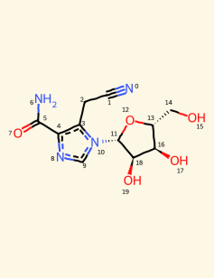 N#CCc1c(C(N)=O)ncn1[C@@H]1O[C@H](CO)[C@@H](O)[C@H]1O